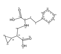 O=C(O)C(CCc1ccccc1)NCC(C(=O)O)C1CC1